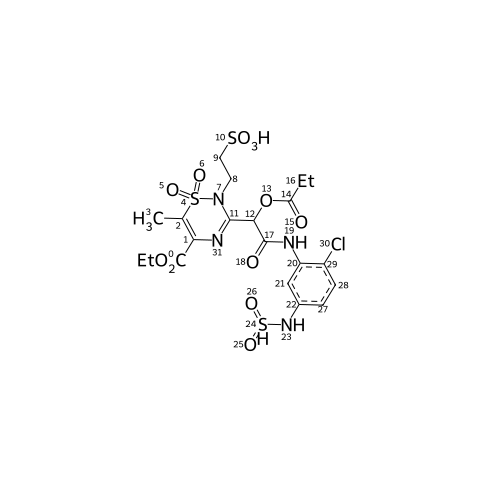 CCOC(=O)C1=C(C)S(=O)(=O)N(CCS(=O)(=O)O)C(C(OC(=O)CC)C(=O)Nc2cc(N[SH](=O)=O)ccc2Cl)=N1